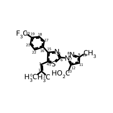 CC(C)=Cc1sc(-n2nc(C)cc2C(=O)O)nc1-c1ccc(C(F)(F)F)cc1